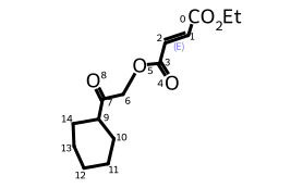 CCOC(=O)/C=C/C(=O)OCC(=O)C1CCCCC1